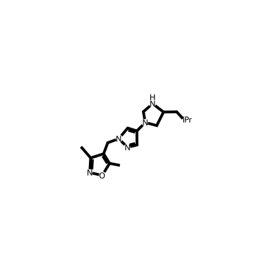 Cc1noc(C)c1Cn1cc(N2CNC(CC(C)C)C2)cn1